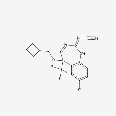 N#CN=C1N=CC(OCC2CCC2)(C(F)(F)F)c2cc(Cl)ccc2N1